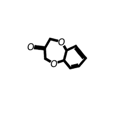 O=C1COC2C=CC=CC2OC1